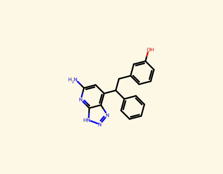 Nc1cc(C(Cc2cccc(O)c2)c2ccccc2)c2nn[nH]c2n1